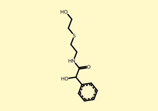 O=C(NCCSCCO)C(O)c1ccccc1